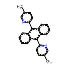 Cc1ccc(-c2c3ccccc3c(-c3ccc(C)cn3)c3ccccc23)nc1